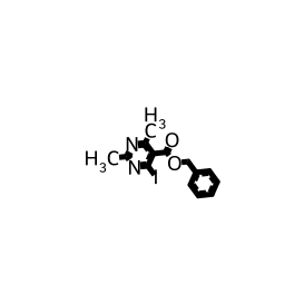 Cc1nc(C)c(C(=O)OCc2ccccc2)c(I)n1